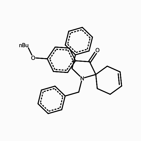 CCCCOc1ccc(C(=O)C2(N(Cc3ccccc3)Cc3ccccc3)CC=CCC2)cc1